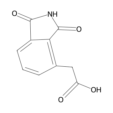 O=C(O)Cc1cccc2c1C(=O)NC2=O